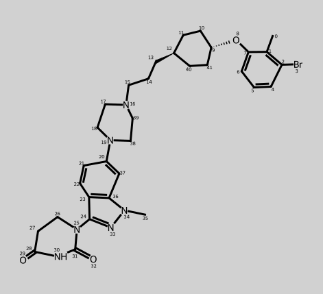 Cc1c(Br)cccc1O[C@H]1CC[C@H](CCCN2CCN(c3ccc4c(N5CCC(=O)NC5=O)nn(C)c4c3)CC2)CC1